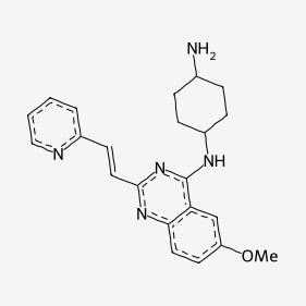 COc1ccc2nc(C=Cc3ccccn3)nc(NC3CCC(N)CC3)c2c1